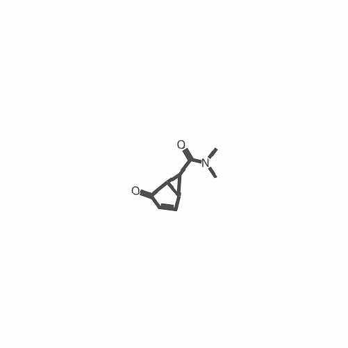 CN(C)C(=O)C1C2C=CC(=O)C21